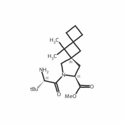 COC(=O)[C@@H]1C[C@]2(CN1C(=O)[C@@H](N)C(C)(C)C)CC1(CCC1)C2(C)C